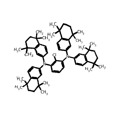 CC1(C)CCC(C)(C)c2cc(N(c3ccc4c(c3)C(C)(C)CCC4(C)C)c3cccc(N(c4ccc5c(c4)C(C)(C)CCC5(C)C)c4ccc5c(c4)C(C)(C)CCC5(C)C)c3Cl)ccc21